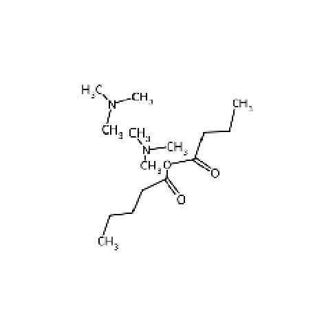 CCCCC(=O)OC(=O)CCC.CN(C)C.CN(C)C